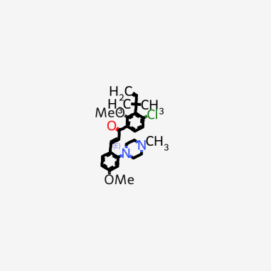 C=CC(C)(C)c1c(Cl)ccc(C(=O)/C=C/c2ccc(OC)cc2N2CCN(C)CC2)c1OC